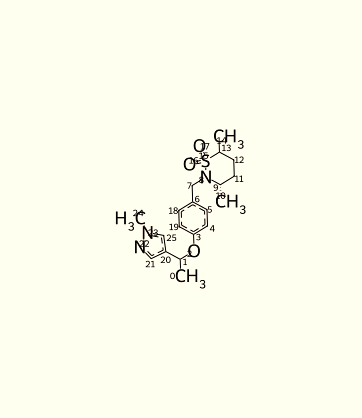 CC(Oc1ccc(CN2[C@@H](C)CCC(C)S2(=O)=O)cc1)c1cnn(C)c1